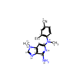 CCc1cc(C#N)ccc1N(C)c1cc2c(ncn2C)c(N)n1